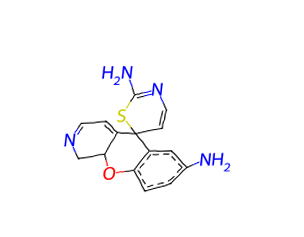 NC1=NC=CC2(S1)C1=CC=NCC1Oc1ccc(N)cc12